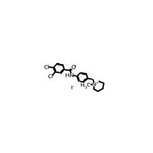 C[N+]1(Cc2ccc(NC(=O)c3ccc(Cl)c(Cl)c3)cc2)CCCCC1.[I-]